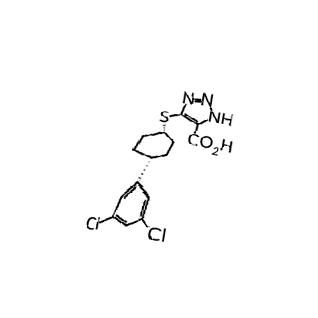 O=C(O)c1[nH]nnc1S[C@H]1CC[C@@H](c2cc(Cl)cc(Cl)c2)CC1